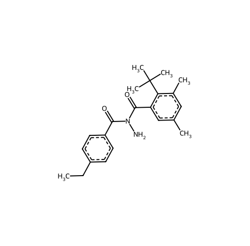 CCc1ccc(C(=O)N(N)C(=O)c2cc(C)cc(C)c2C(C)(C)C)cc1